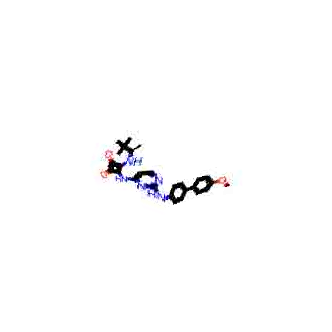 COc1ccc(-c2ccc(Nc3nccc(Nc4c(N[C@H](C)C(C)(C)C)c(=O)c4=O)n3)cc2)cc1